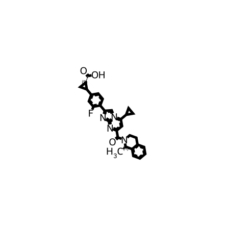 C[C@@H]1c2ccccc2CCN1C(=O)c1cc(C2CC2)n2cc(-c3ccc(C4C[C@@H]4C(=O)O)cc3F)nc2n1